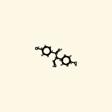 O=[C]N(C(=O)c1ccc(Cl)cc1)c1ccc(Cl)cc1